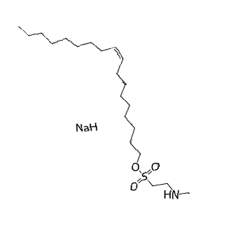 CCCCCCCC/C=C\CCCCCCCCOS(=O)(=O)CCNC.[NaH]